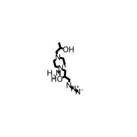 CC(O)CN1CC[N+](N)(CC(O)CN=[N+]=[N-])CC1